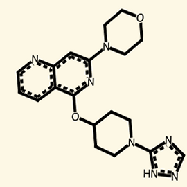 c1cnc2cc(N3CCOCC3)nc(OC3CCN(c4ncn[nH]4)CC3)c2c1